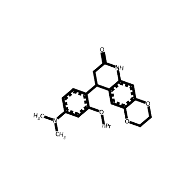 CCCOc1cc(N(C)C)ccc1C1CC(=O)Nc2cc3c(cc21)OCCO3